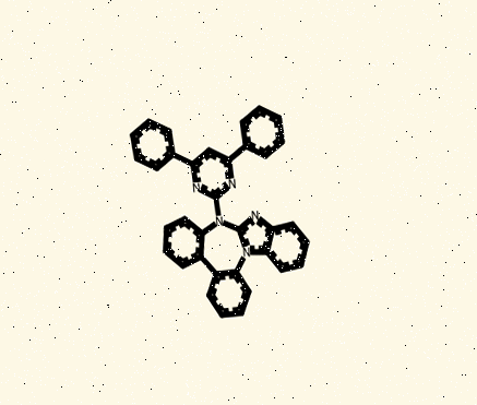 c1ccc(-c2cc(-c3ccccc3)nc(N3c4ccccc4-c4ccccc4-n4c3nc3ccccc34)n2)cc1